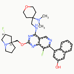 CN(C)C1(CNc2nc(OC[C@@]34CCCN3C[C@H](F)C4)nc3c(F)c(-c4cc(O)cc5ccccc45)ncc23)CCOCC1